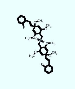 COC1=CC(/C=C/c2ccccc2F)(OC)C=C(OC)C1CS(=O)(=O)CC1C(OC)=CC(/C=C/c2ccccc2F)(OC)C=C1OC